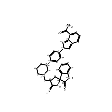 NC(=O)c1cccc2cn(-c3ccc([C@H]4CCCN(CC5CC6(OC5=O)C(=O)Nc5ccccc56)C4)cc3)nc12